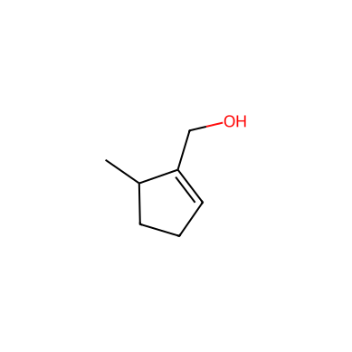 CC1CCC=C1CO